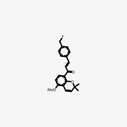 COc1ccc(C(=O)/C=C/c2ccc(CF)cc2)c2c1C=CC(C)(C)O2